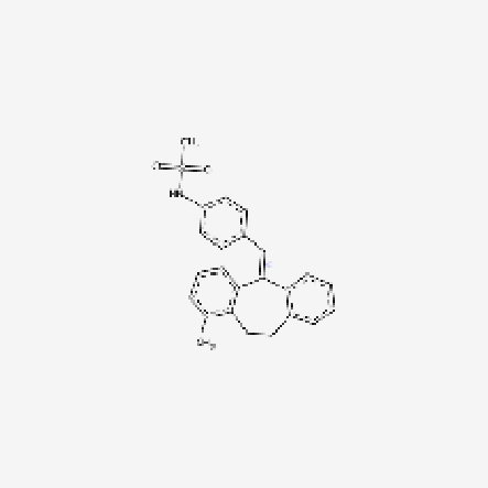 Cc1cccc2c1CCc1ccccc1/C2=C/c1ccc(NS(C)(=O)=O)cc1